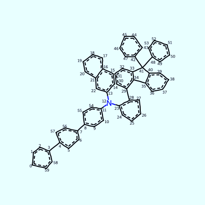 c1ccc(-c2ccc(-c3ccc(N(c4ccc5ccccc5c4)c4ccccc4-c4cccc5c4-c4ccccc4C5(c4ccccc4)c4ccccc4)cc3)cc2)cc1